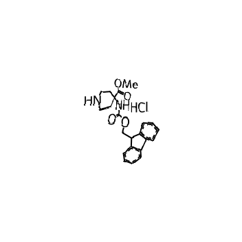 COC(=O)C1(NC(=O)OCC2c3ccccc3-c3ccccc32)CCNCC1.Cl